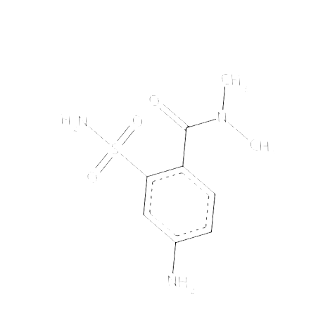 CN(C)C(=O)c1ccc(N)cc1S(N)(=O)=O